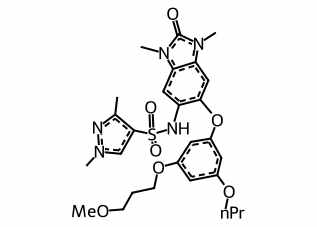 CCCOc1cc(OCCCOC)cc(Oc2cc3c(cc2NS(=O)(=O)c2cn(C)nc2C)n(C)c(=O)n3C)c1